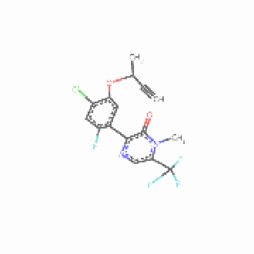 C#CC(C)Oc1cc(-c2ncc(C(F)(F)F)n(C)c2=O)c(F)cc1Cl